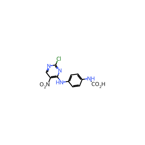 O=C(O)Nc1ccc(Nc2nc(Cl)ncc2[N+](=O)[O-])cc1